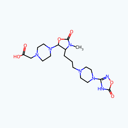 CN1C(=O)OC(N2CCN(CC(=O)O)CC2)C1CCCN1CCN(c2noc(=O)[nH]2)CC1